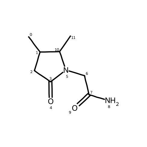 CC1CC(=O)N(CC(N)=O)C1C